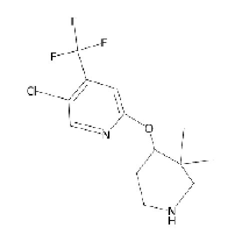 CC1(C)CNCCC1Oc1cc(C(F)(F)F)c(Cl)cn1